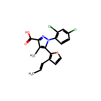 CC=Cc1ccsc1-c1c(C)c(C(=O)O)nn1-c1ccc(Cl)cc1Cl